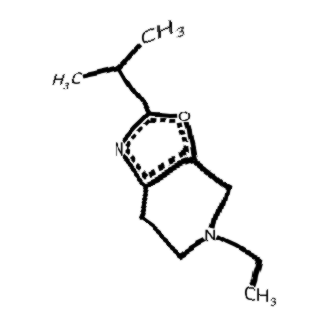 CCN1CCc2nc(C(C)C)oc2C1